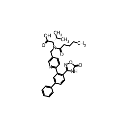 CCCCC(=O)N(Cc1ccc(-c2cc(-c3ccccc3)ccc2-c2noc(=O)[nH]2)nc1)[C@H](C(=O)O)C(C)C